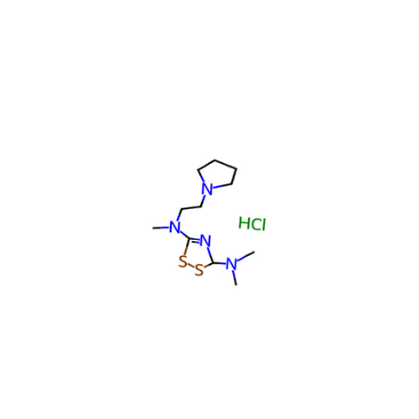 CN(CCN1CCCC1)C1=NC(N(C)C)SS1.Cl